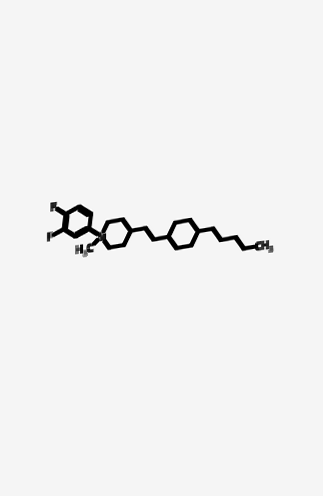 CCCCCC1CCC(CCC2CC[Si](C)(c3ccc(F)c(F)c3)CC2)CC1